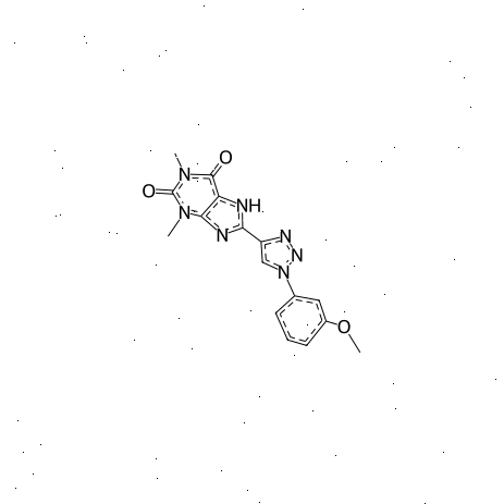 COc1cccc(-n2cc(-c3nc4c([nH]3)c(=O)n(C)c(=O)n4C)nn2)c1